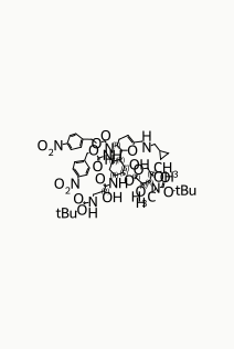 CN(C(=O)OC(C)(C)C)[C@@H]1[C@@H](O)[C@@H](O[C@@H]2[C@@H](O)[C@H](C3OC(CNCC4CC4)=CC[C@H]3NC(=O)OCc3ccc([N+](=O)[O-])cc3)[C@@H](NC(=O)OCc3ccc([N+](=O)[O-])cc3)C[C@H]2NC(=O)[C@H](O)CNC(=O)OC(C)(C)C)OC[C@]1(C)O